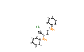 [Cl-].[Ni+][CH](CCPc1ccccc1)Pc1ccccc1